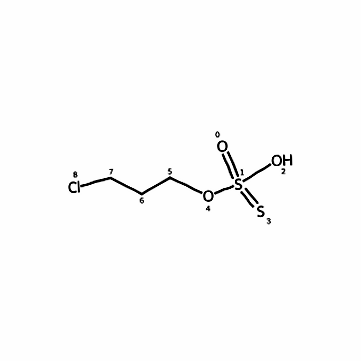 O=S(O)(=S)OCCCCl